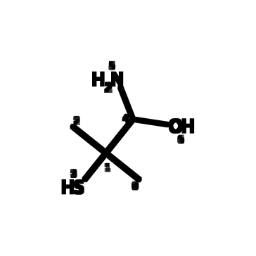 CC(C)(S)C(N)O